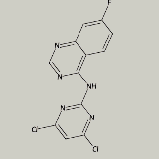 Fc1ccc2c(Nc3nc(Cl)cc(Cl)n3)ncnc2c1